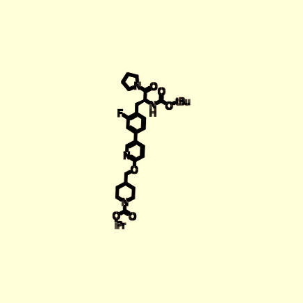 CC(C)OC(=O)N1CCC(COc2ccc(-c3ccc(C[C@H](NC(=O)OC(C)(C)C)C(=O)N4CCCC4)c(F)c3)cn2)CC1